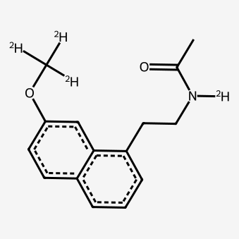 [2H]N(CCc1cccc2ccc(OC([2H])([2H])[2H])cc12)C(C)=O